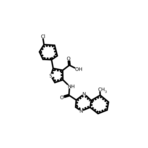 Cc1cccc2ncc(C(=O)Nc3csc(-c4ccc(Cl)cc4)c3C(=O)O)nc12